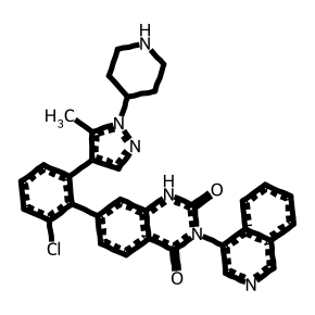 Cc1c(-c2cccc(Cl)c2-c2ccc3c(=O)n(-c4cncc5ccccc45)c(=O)[nH]c3c2)cnn1C1CCNCC1